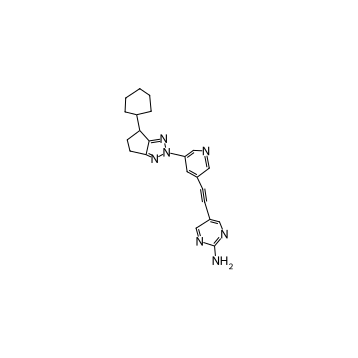 Nc1ncc(C#Cc2cncc(-n3nc4c(n3)C(C3CCCCC3)CC4)c2)cn1